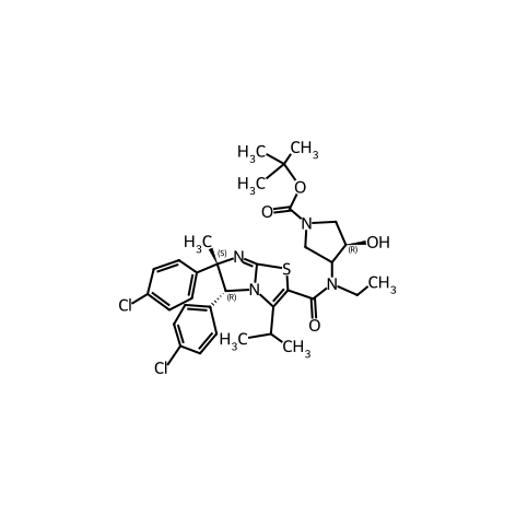 CCN(C(=O)C1=C(C(C)C)N2C(=N[C@@](C)(c3ccc(Cl)cc3)[C@H]2c2ccc(Cl)cc2)S1)C1CN(C(=O)OC(C)(C)C)C[C@H]1O